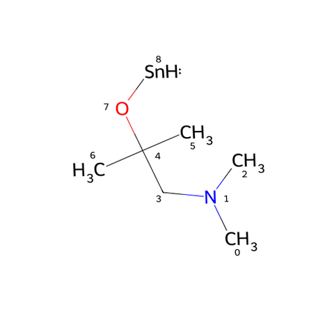 CN(C)CC(C)(C)[O][SnH]